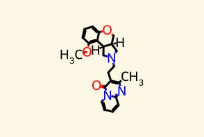 COc1cccc2c1[C@H]1CN(CCc3c(C)nc4ccccn4c3=O)C[C@H]1CO2